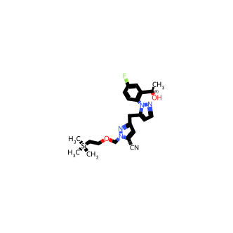 C[C@@H](O)c1cc(F)ccc1-n1nccc1Cc1cc(C#N)n(COCC[Si](C)(C)C)n1